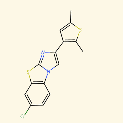 Cc1cc(-c2cn3c(n2)sc2cc(Cl)ccc23)c(C)s1